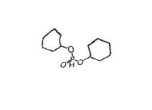 O=[PH](OC1CCCCC1)OC1CCCCC1